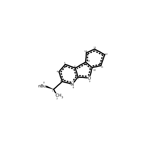 CCCC[C@H](C)c1ccc2c(n1)oc1ccccc12